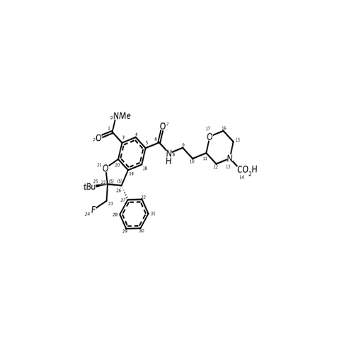 CNC(=O)c1cc(C(=O)NCCC2CN(C(=O)O)CCO2)cc2c1O[C@](CF)(C(C)(C)C)[C@H]2c1ccccc1